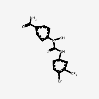 NC(=O)c1ccc(N(S)C(=O)Nc2ccc(Br)c(C(F)(F)F)c2)cc1